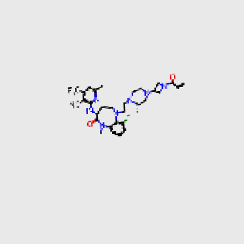 C=CC(=O)N1CC(N2CCN(CCN3CC[C@H](Nc4nc(C)cc(C(F)(F)F)c4C#N)C(=O)N(C)c4cccc(F)c43)[C@@H](C)C2)C1